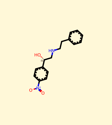 O=[N+]([O-])c1ccc([C@H](O)CNCCc2ccccc2)cc1